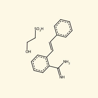 N=C(N)c1ccccc1C=Cc1ccccc1.O=S(=O)(O)CCO